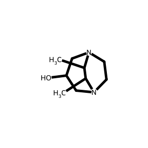 CC1C(C)N2CCN1CC(O)C2